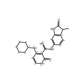 CC1C(=O)Nc2cc(NC(=N)c3c(NC4CCCCC4)cc[nH]c3=O)ccc21